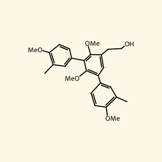 COc1ccc(-c2[c]c(CCO)c(OC)c(-c3ccc(OC)c(C)c3)c2OC)cc1C